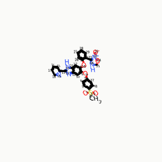 CS(=O)(=O)c1ccc(Oc2cc3nc(-c4ccccn4)[nH]c3cc2Oc2ccccc2C2=[N+]([O-])OCN2)cc1